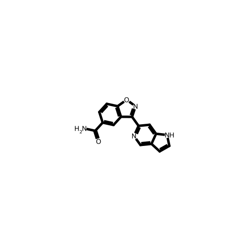 NC(=O)c1ccc2onc(-c3cc4[nH]ccc4cn3)c2c1